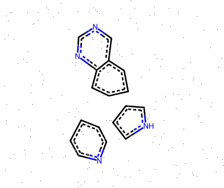 c1cc[nH]c1.c1ccc2ncncc2c1.c1ccncc1